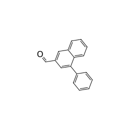 O=Cc1cc(-c2ccccc2)c2ccccc2c1